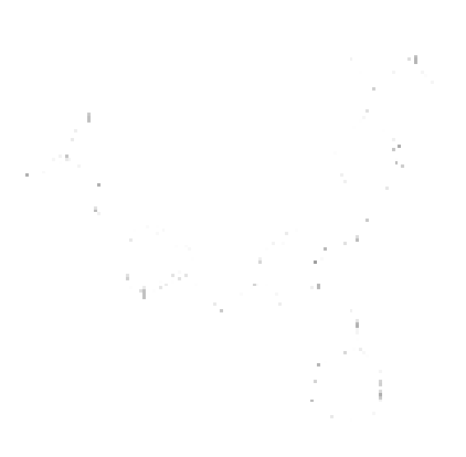 CN(C)C(O)c1ccc(Oc2ccc(Nc3ccc(CCC(=O)O)cn3)cc2CC2CCOCC2)cc1